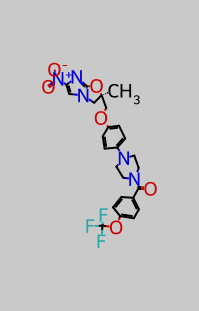 C[C@]1(COc2ccc(N3CCN(C(=O)c4ccc(OC(F)(F)F)cc4)CC3)cc2)Cn2cc([N+](=O)[O-])nc2O1